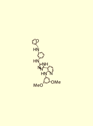 COc1cc(Nc2ncccc2-c2nnc(Nc3cccc(NCc4ccco4)c3)[nH]2)cc(OC)c1